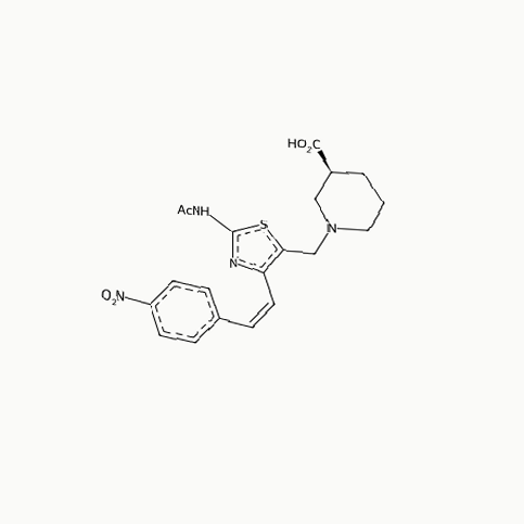 CC(=O)Nc1nc(/C=C\c2ccc([N+](=O)[O-])cc2)c(CN2CCC[C@H](C(=O)O)C2)s1